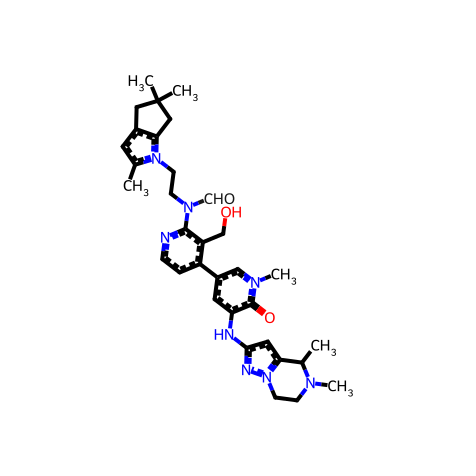 Cc1cc2c(n1CCN(C=O)c1nccc(-c3cc(Nc4cc5n(n4)CCN(C)C5C)c(=O)n(C)c3)c1CO)CC(C)(C)C2